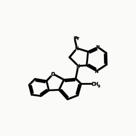 Cc1ccc2c(oc3ccccc32)c1N1CN(C(C)C)c2nccnc21